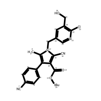 Cc1c(-c2ccc(C#N)cc2)c(C(=O)OC(C)(C)C)c(C#N)n1Cc1cnc(Cl)c(CO)c1